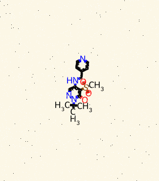 CC(C)(C)n1ncc(NCc2ccncc2)c(S(C)(=O)=O)c1=O